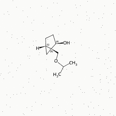 CC(C)OC[C@@]12C[C@@H]1CC[C@H]2O